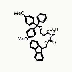 COc1ccc(C(SCC[C@@H](C(=O)O)N(C)C(=O)OCC2c3ccccc3-c3ccccc32)(c2ccccc2)c2ccc(OC)cc2)cc1